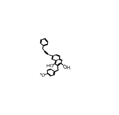 COc1ccc(Cc2c(O)cc3ccc(C#CCc4ccccc4)cc3c2O)cc1